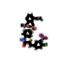 Cc1cccc(C)c1CS(=O)(=O)c1ccc2c(c1)S/C(=C\c1ccc(Cl)c([N+](=O)[O-])c1)C(=O)N2